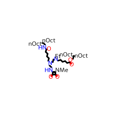 CCCCCCCCC(CCCCCCCC)CNC(=O)CCCCCN(CCNc1c(NC)c(=O)c1=O)CCN(CC)CCCCCC(=O)OCC(CCCCCCCC)CCCCCCCC